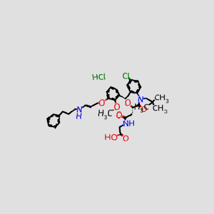 COc1c(OCCCNCCCc2ccccc2)cccc1[C@@H]1O[C@@H](CC(=O)NCC(=O)O)C(=O)N(CC(C)(C)C)c2ccc(Cl)cc21.Cl